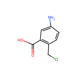 Nc1ccc(CCl)c(C(=O)O)c1